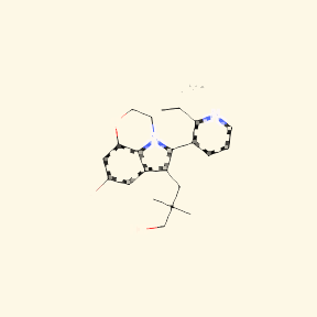 CO[C@@H](C)c1ncccc1-c1c(CC(C)(C)CO)c2cc(Br)cc3c2n1CCO3